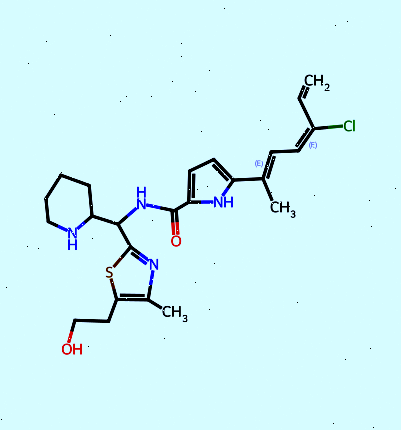 C=C/C(Cl)=C\C=C(/C)c1ccc(C(=O)NC(c2nc(C)c(CCO)s2)C2CCCCN2)[nH]1